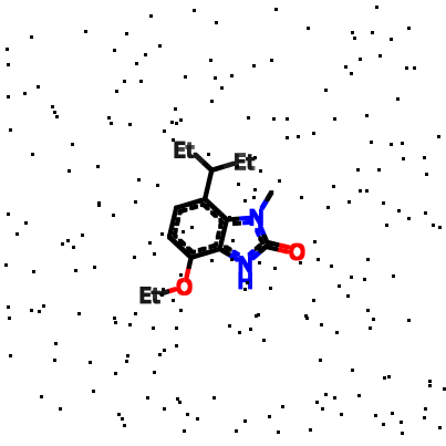 CCOc1ccc(C(CC)CC)c2c1[nH]c(=O)n2C